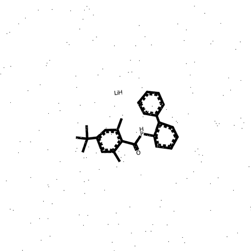 Cc1cc(C(C)(C)C)cc(C)c1C(=O)Pc1ccccc1-c1ccccc1.[LiH]